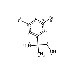 CC(N)(CO)c1cc(Cl)cc(Br)c1